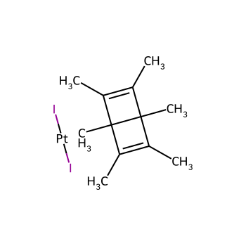 CC1=C(C)C2(C)C(C)=C(C)C12C.[I][Pt][I]